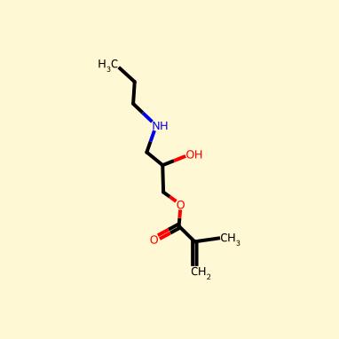 C=C(C)C(=O)OCC(O)CNCCC